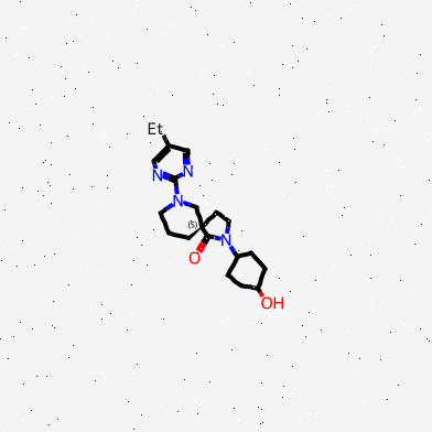 CCc1cnc(N2CCC[C@]3(CCN(C4CCC(O)CC4)C3=O)C2)nc1